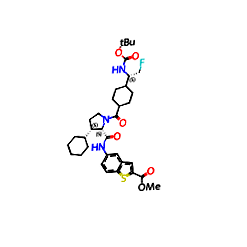 COC(=O)c1cc2cc(NC(=O)[C@@H]3[C@H](C4CCCCC4)CCN3C(=O)C3CCC([C@@H](CF)NC(=O)OC(C)(C)C)CC3)ccc2s1